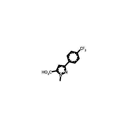 Cn1nc(-c2ccc(C(F)(F)F)cc2)cc1C(=O)O